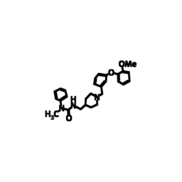 COc1ccccc1Oc1cccc(CN2CCC(CNC(=O)N(C)c3ccccc3)CC2)c1